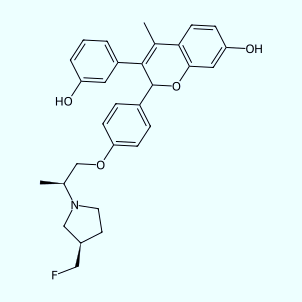 CC1=C(c2cccc(O)c2)C(c2ccc(OC[C@H](C)N3CC[C@@H](CF)C3)cc2)Oc2cc(O)ccc21